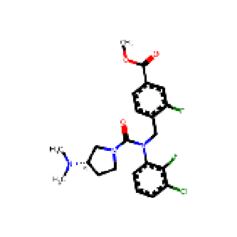 COC(=O)c1ccc(CN(C(=O)N2CC[C@H](N(C)C)C2)c2cccc(Cl)c2F)c(F)c1